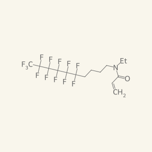 C=CC(=O)N(CC)CCCCC(F)(F)C(F)(F)C(F)(F)C(F)(F)C(F)(F)C(F)(F)F